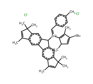 CC1=CC(C)(C)c2cc3c(cc21)-c1cc2c(cc1[CH]3/[Zr+2](=[CH]/c1ccc(C)cc1)[C]1=C(C)C(C(C)(C)C)=CC1C)C(C)(C)C=C2C.[Cl-].[Cl-]